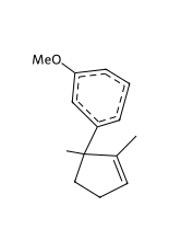 COc1cccc(C2(C)CCC=C2C)c1